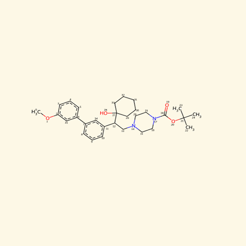 COc1cccc(-c2cccc(C(CN3CCN(C(=O)OC(C)(C)C)CC3)C3(O)CCCCC3)c2)c1